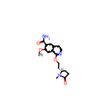 CC(C)Oc1cc2c(OCC[C@@H]3CCC(=O)N3C)nccc2cc1C(N)=O